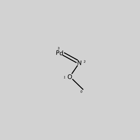 CO[N]=[Pd]